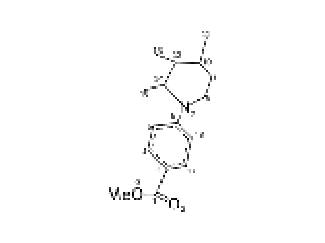 COC(=O)c1ccc(N2CCC(C)C(C)C2C)cc1